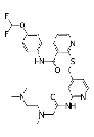 CN(C)CCN(C)CC(=O)Nc1cc(CSc2ncccc2C(=O)Nc2ccc(OC(F)F)cc2)ccn1